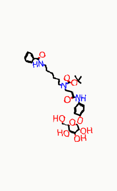 CC(C)(C)OC(=O)N(CCCCCCNC(=O)c1ccccc1)CCC(=O)Nc1ccc(O[C@H]2O[C@H](CO)C(O)=C(O)[C@H]2O)cc1